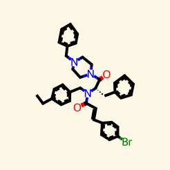 CCc1ccc(CN(C(=O)/C=C/c2ccc(Br)cc2)[C@@H](Cc2ccccc2)C(=O)N2CCN(Cc3ccccc3)CC2)cc1